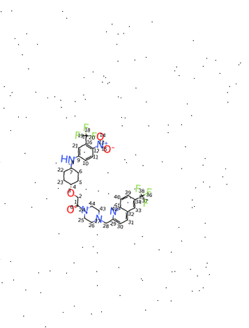 O=C(CO[C@H]1CC[C@H](Nc2ccc([N+](=O)[O-])c(C(F)(F)F)c2)CC1)N1CCN(Cc2ccc3cc(C(F)(F)F)ccc3n2)CC1